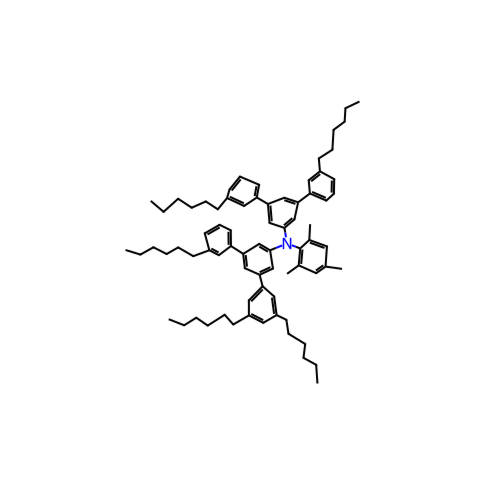 CCCCCCc1cccc(-c2cc(-c3cccc(CCCCCC)c3)cc(N(c3cc(-c4cccc(CCCCCC)c4)cc(-c4cc(CCCCCC)cc(CCCCCC)c4)c3)c3c(C)cc(C)cc3C)c2)c1